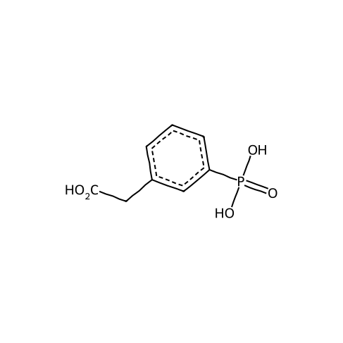 O=C(O)Cc1cccc(P(=O)(O)O)c1